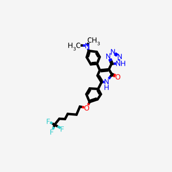 CN(C)c1ccc(-c2cc(-c3ccc(OCCCCCC(F)(F)F)cc3)[nH]c(=O)c2-c2nnn[nH]2)cc1